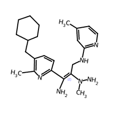 Cc1ccnc(NC/C(=C(/N)c2ccc(CC3CCCCC3)c(C)n2)N(C)N)c1